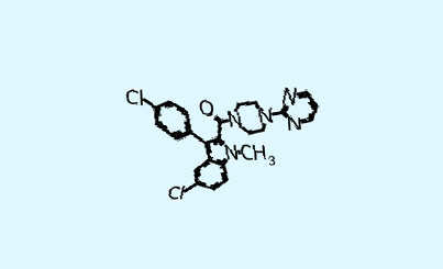 Cn1c(C(=O)N2CCN(c3ncccn3)CC2)c(-c2ccc(Cl)cc2)c2cc(Cl)ccc21